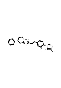 COc1cc(/C=C/c2nc3n(n2)CC[C@H](c2ccccc2)C3)ccc1-n1cnc(C)c1